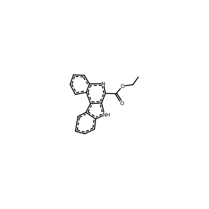 CCOC(=O)c1nc2ccccc2c2c1[nH]c1ccccc12